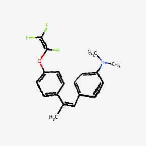 CC(=Cc1ccc(N(C)C)cc1)c1ccc(OC(F)=C(F)F)cc1